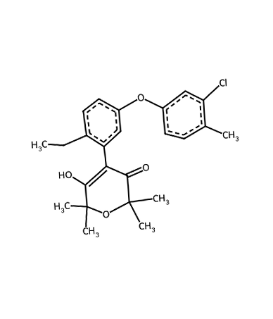 CCc1ccc(Oc2ccc(C)c(Cl)c2)cc1C1=C(O)C(C)(C)OC(C)(C)C1=O